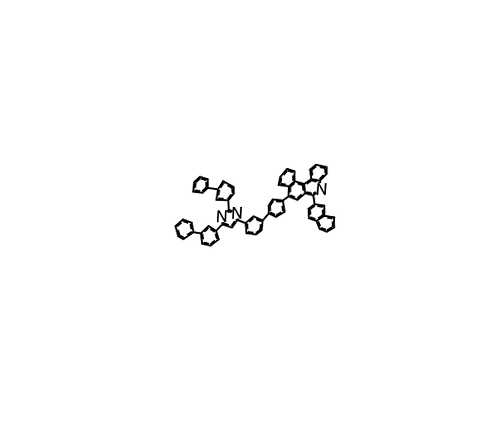 c1ccc(-c2cccc(-c3cc(-c4cccc(-c5ccc(-c6cc7c(-c8ccc9ccccc9c8)nc8ccccc8c7c7ccccc67)cc5)c4)nc(-c4cccc(-c5ccccc5)c4)n3)c2)cc1